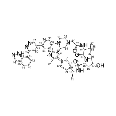 Cc1ncsc1-c1ccc([C@H](C)NC(=O)[C@@H]2C[C@@H](O)CN2C(=O)C(NC(=O)CN2CCN(c3ccc(-c4cnnc(-c5cccc6cn[nH]c56)c4)cc3)CC2)C(C)(C)C)cc1